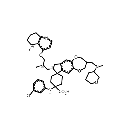 C[C@@H](COc1ccnc2c1[C@H](C)CCC2)C[C@H]1Cc2cc3c(cc2C12CCC(Nc1cccc(Cl)c1)(C(=O)O)CC2)OCC(CN(C)C1CCCOC1)CO3